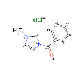 CN1C=CN(C(=O)c2ccccc2)C1.Cl